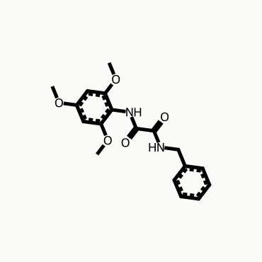 COc1cc(OC)c(NC(=O)C(=O)NCc2ccccc2)c(OC)c1